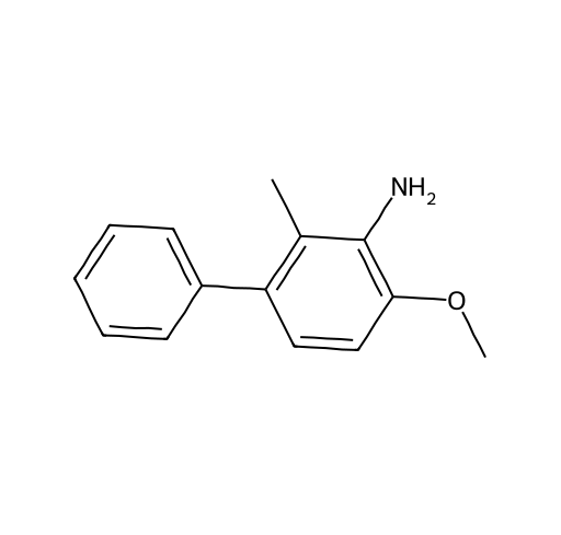 COc1ccc(-c2ccccc2)c(C)c1N